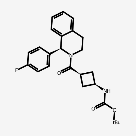 CC(C)(C)OC(=O)N[C@H]1C[C@@H](C(=O)N2CCc3ccccc3[C@@H]2c2ccc(F)cc2)C1